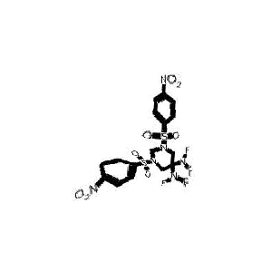 O=[N+]([O-])c1ccc(S(=O)(=O)N2CN(S(=O)(=O)c3ccc([N+](=O)[O-])cc3)CC(N(F)F)(N(F)F)C2)cc1